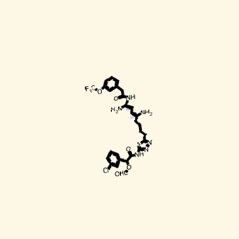 N/C(=C\C=C(/N)NC(=O)Cc1cccc(OC(F)(F)F)c1)CCCCc1nnc(NC(=O)C(OC=O)c2cccc(Cl)c2)s1